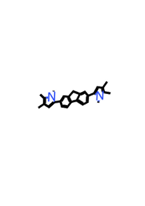 Cc1cc(-c2ccc3c(c2)Cc2cc(-c4cc(C)c(C)n4C)ccc2-3)n(C)c1C